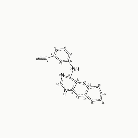 C#Cc1cccc(Nc2ncnc3cc4ccccc4cc23)c1